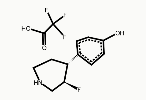 O=C(O)C(F)(F)F.Oc1ccc([C@H]2CCNC[C@@H]2F)cc1